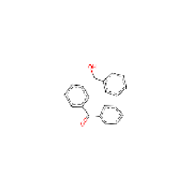 O=C(c1ccccc1)c1ccccc1.OCc1ccccc1